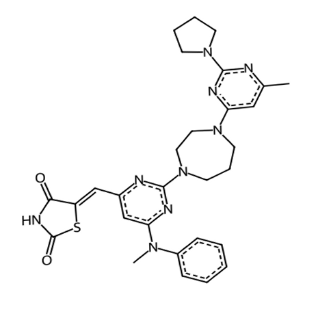 Cc1cc(N2CCCN(c3nc(/C=C4\SC(=O)NC4=O)cc(N(C)c4ccccc4)n3)CC2)nc(N2CCCC2)n1